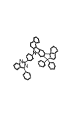 c1ccc(-c2nc(-c3ccc(-n4c5cc6c(cc5c5c7ccccc7ccc54)-c4c(ccc5ccccc45)C6(c4ccccc4)c4ccccc4)cc3)nc3ccccc23)cc1